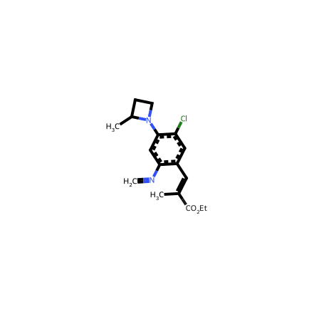 C=Nc1cc(N2CCC2C)c(Cl)cc1/C=C(\C)C(=O)OCC